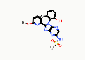 CCOC1=NC(c2nc3nc(NS(C)(=O)=O)cnc3n2-c2c(O)cccc2OC)=C=C=C1